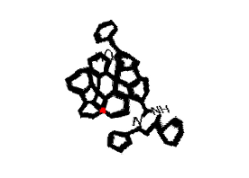 Oc1c(-c2ccccc2)ccc2c1C1(c3cc(C4N=C(c5ccccc5)C=C(c5ccccc5)N4)ccc3-2)c2ccccc2C2(c3ccccc3-c3ccccc32)c2ccccc21